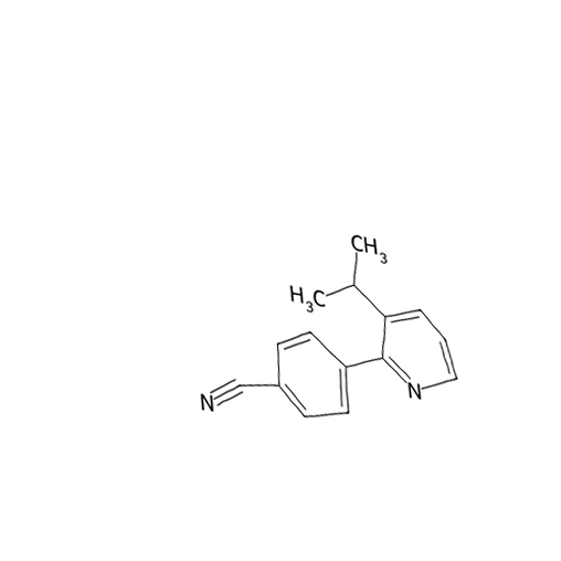 CC(C)c1cccnc1-c1ccc(C#N)cc1